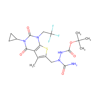 Cc1c(CN(NC(=O)OC(C)(C)C)C(N)=O)sc2c1c(=O)n(C1CC1)c(=O)n2CC(F)(F)F